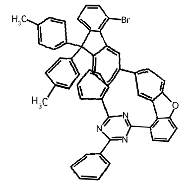 Cc1ccc(C2(c3ccc(C)cc3)c3ccc(-c4ccc5oc6cccc(-c7nc(-c8ccccc8)nc(-c8ccccc8)n7)c6c5c4)cc3-c3c(Br)cccc32)cc1